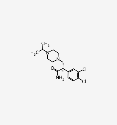 CC(C)N1CCN(C[C@@H](C(N)=O)c2ccc(Cl)c(Cl)c2)CC1